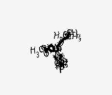 COC(=O)c1ccc2c(c1)c(N1CCN(S(=O)(=O)C(F)(F)F)CC1)nn2COCC[Si](C)(C)C